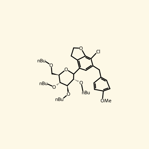 CCCCOC[C@H]1OC(c2cc(Cc3ccc(OC)cc3)c(Cl)c3c2CCO3)[C@H](OCCCC)[C@@H](OCCCC)[C@@H]1OCCCC